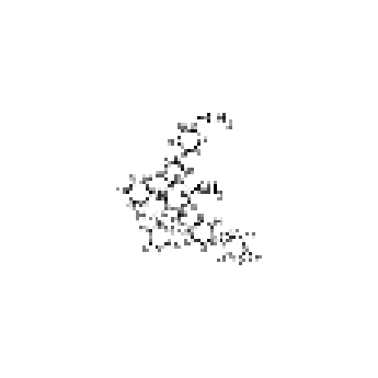 C=Cc1ccc(-c2ccc3c(c2)C(=C)C=C(C(c2ccccc2)c2ccc(-c4ccc(F)cc4)cc2)C(C)N3c2ccccc2)cc1